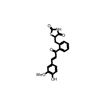 COc1cc(C=CC(=O)c2ccccc2CC2SC(=O)NC2=O)ccc1O